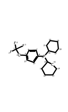 FC(F)(F)Oc1ccc(P(C2CCCCC2)C2CCCCC2)cc1